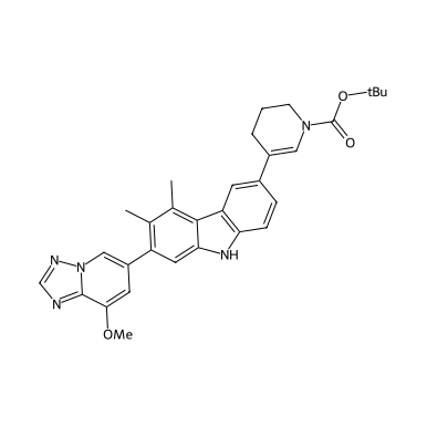 COc1cc(-c2cc3[nH]c4ccc(C5=CN(C(=O)OC(C)(C)C)CCC5)cc4c3c(C)c2C)cn2ncnc12